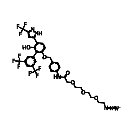 [N-]=[N+]=NCCOCCOCCOCC(=O)Nc1ccc(COc2ccc(-c3cc(C(F)(F)F)n[nH]3)c(O)c2-c2cc(C(F)(F)F)cc(C(F)(F)F)c2)cc1